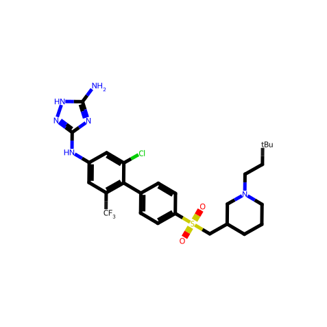 CC(C)(C)CCN1CCCC(CS(=O)(=O)c2ccc(-c3c(Cl)cc(Nc4n[nH]c(N)n4)cc3C(F)(F)F)cc2)C1